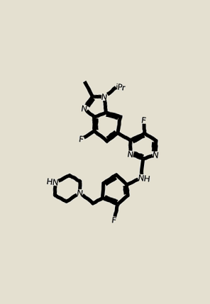 Cc1nc2c(F)cc(-c3nc(Nc4ccc(CN5CCNCC5)c(F)c4)ncc3F)cc2n1C(C)C